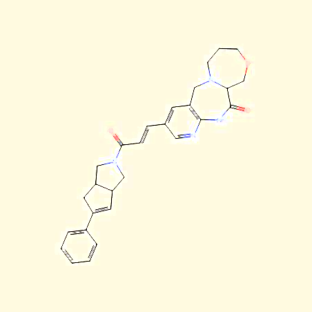 O=C1Nc2ncc(/C=C/C(=O)N3CC4C=C(c5ccccc5)CC4C3)cc2CN2CCCOCC12